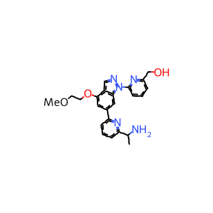 COCCOc1cc(-c2cccc(C(C)N)n2)cc2c1cnn2-c1cccc(CO)n1